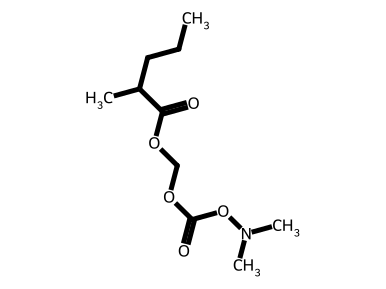 CCCC(C)C(=O)OCOC(=O)ON(C)C